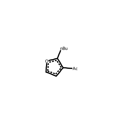 CCCCc1occc1C(C)=O